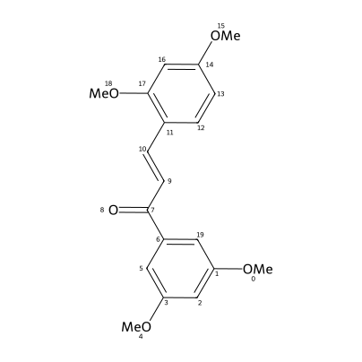 COc1cc(OC)cc(C(=O)C=Cc2ccc(OC)cc2OC)c1